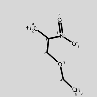 [CH2]C(COCC)[N+](=O)[O-]